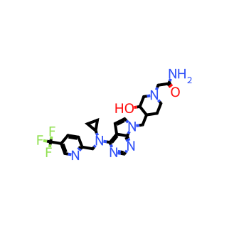 NC(=O)CN1CCC(Cn2ccc3c(N(Cc4ccc(C(F)(F)F)cn4)C4CC4)ncnc32)C(O)C1